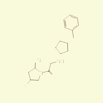 N#CC1CC(F)CN1C(=O)CN[C@@H]1CC[C@H](Cc2ccccc2)C1